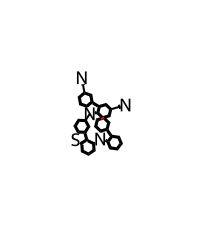 N#Cc1ccc2c(c1)c1cc(C#N)ccc1n2-c1ccc2sc3cccc(-n4c5ccccc5c5ccccc54)c3c2c1